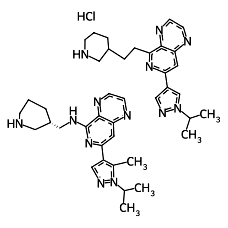 CC(C)n1cc(-c2cc3nccnc3c(CCC3CCCNC3)n2)cn1.Cc1c(-c2cc3nccnc3c(NC[C@H]3CCCNC3)n2)cnn1C(C)C.Cl